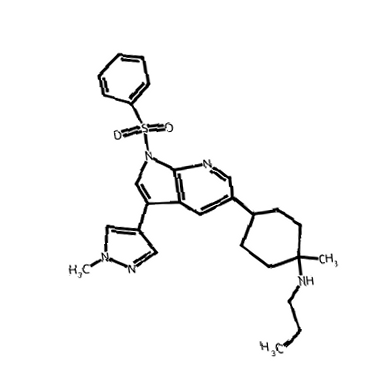 CCCNC1(C)CCC(c2cnc3c(c2)c(-c2cnn(C)c2)cn3S(=O)(=O)c2ccccc2)CC1